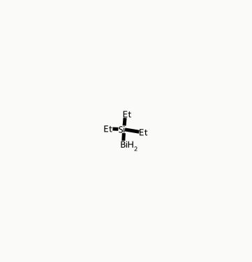 CC[Si]([BiH2])(CC)CC